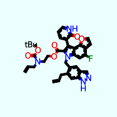 C=CCc1cc2[nH]ncc2cc1Cn1c(C(=O)OCCN(CC=C)C(=O)OC(C)(C)C)c(-c2ccc[nH]c2=O)c2c3occc3c(F)cc21